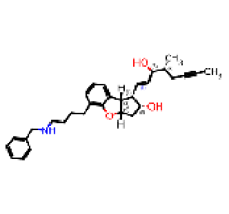 CC#CC[C@@H](C)[C@H](O)/C=C/[C@@H]1[C@H]2c3cccc(CCCCNCc4ccccc4)c3O[C@H]2C[C@H]1O